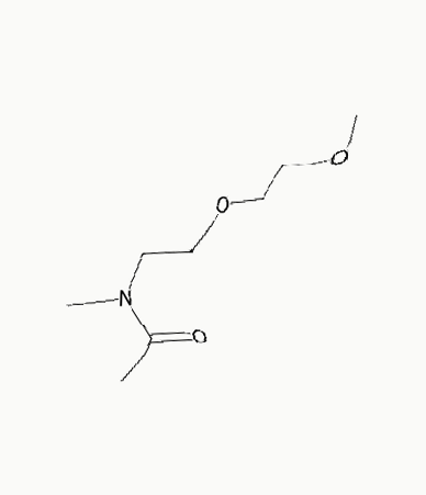 COCCOCCN(C)C(C)=O